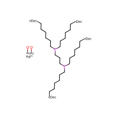 CC(=O)[O-].CC(=O)[O-].CCCCCCCCCCCCCCCCP(CCCCCCCCCCCCCCCC)CCCP(CCCCCCCCCCCCCCCC)CCCCCCCCCCCCCCCC.[Pd+2]